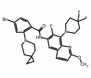 COc1ccc2cc(NC(=O)c3ccc(Br)cc3N3CCC4(CC3)CC4)c(F)c(N3CCC(F)(F)CC3)c2n1